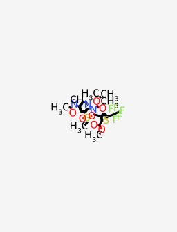 CCS(=O)(=O)c1cc(N(C)C(C)=O)cnc1N(Cc1cc(C(F)(F)C(F)(F)F)sc1C(=O)OC)C(=O)OC(C)(C)C